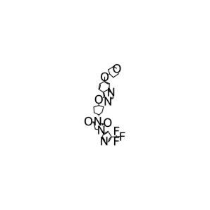 O=C1CN(c2cncc(C(F)(F)F)c2)C(=O)N1[C@H]1CC[C@H](Oc2ncnc3cc(OC4CCOCC4)ccc23)CC1